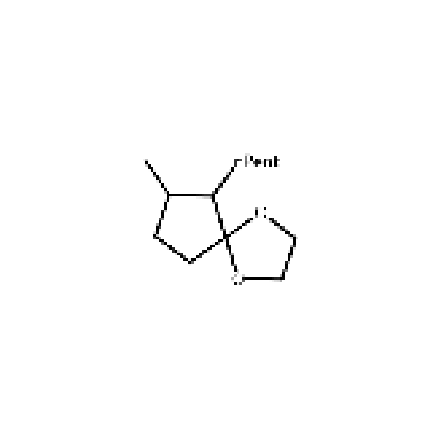 CCCCCC1C(C)CCC12OCCO2